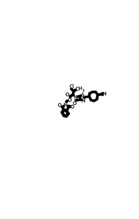 C=C(CCl)C(C(=O)OCN1C(=O)c2ccccc2C1=O)N1C(=O)C2N=C(C3CCCC(C#N)CCC3)SC21